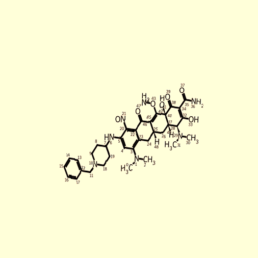 CN(C)c1cc(NC2CCN(Cc3ccccc3)CC2)c(N=O)c2c1C[C@H]1C[C@H]3[C@H](N(C)C)C(O)=C(C(N)=O)C(=O)[C@@]3(O)C(ON)=C1C2=O